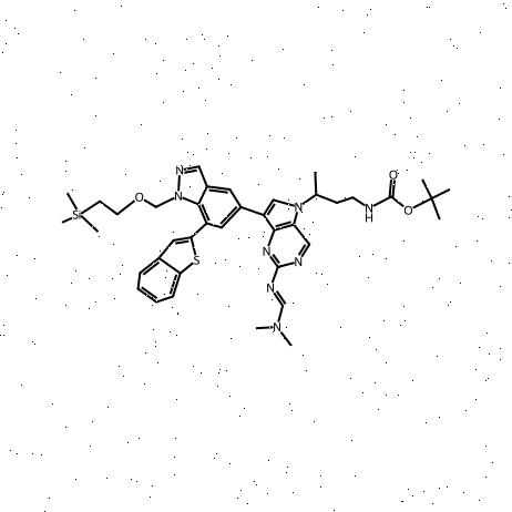 CC(CCNC(=O)OC(C)(C)C)n1cc(-c2cc(-c3cc4ccccc4s3)c3c(cnn3COCC[Si](C)(C)C)c2)c2nc(/N=C/N(C)C)ncc21